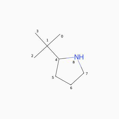 CC(C)(C)C1CCCN1